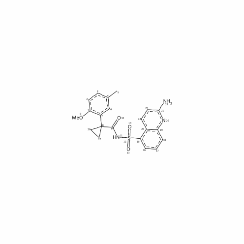 COc1ccc(C)cc1C1(C(=O)NS(=O)(=O)c2cccc3nc(N)ccc23)CC1